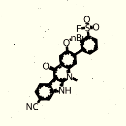 CCCCOc1cc2c(=O)c3c4ccc(C#N)cc4[nH]c3n(C)c2cc1-c1cccc(S(=O)(=O)F)c1